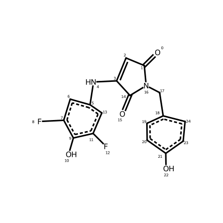 O=C1C=C(Nc2cc(F)c(O)c(F)c2)C(=O)N1Cc1ccc(O)cc1